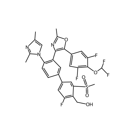 Cc1cn(-c2ccc(-c3cc(F)c(CO)c(S(C)(=O)=O)c3)cc2-c2nc(C)oc2-c2cc(F)c(OC(F)F)c(F)c2)c(C)n1